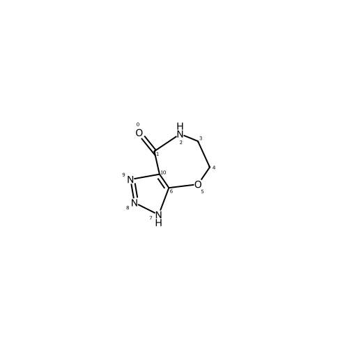 O=C1NCCOc2[nH]nnc21